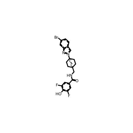 O=C(NCC12CCC(n3cc4ccc(Br)cc4n3)(CC1)CC2)c1cc(F)c(O)c(F)c1